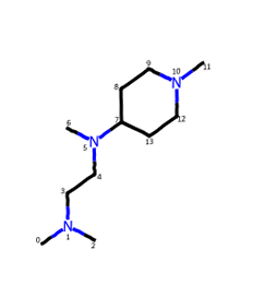 CN(C)CCN(C)C1CCN(C)CC1